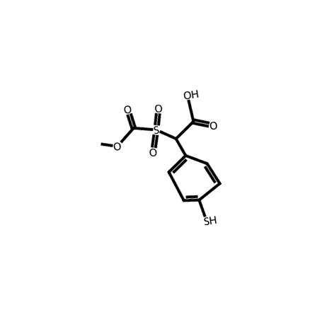 COC(=O)S(=O)(=O)C(C(=O)O)c1ccc(S)cc1